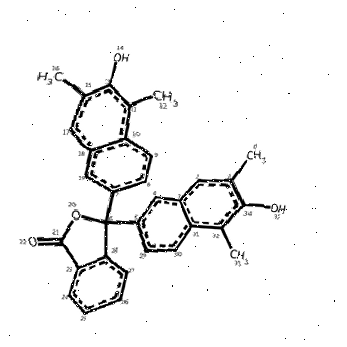 Cc1cc2cc(C3(c4ccc5c(C)c(O)c(C)cc5c4)OC(=O)c4ccccc43)ccc2c(C)c1O